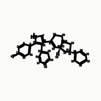 Fc1ccc(-c2[nH]cc(C3=C[C@@H]4C[C@@H](c5ccccc5)CN4CC3)c2-c2ccncc2)cc1